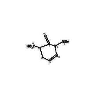 CNN1N=CCC(C(=O)O)C1=O